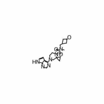 CN(CC1CC(=O)C1)S(=O)(=O)N1CCN(c2ncnc3[nH]ccc23)CC12CC2